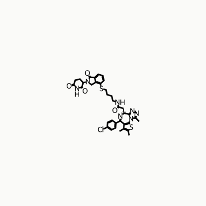 Cc1sc2c(c1C)C(c1ccc(Cl)cc1)=N[C@@H](CC(=O)NCCCCSc1cccc3c1CN(C1CCC(=O)NC1=O)C3=O)c1nnc(C)n1-2